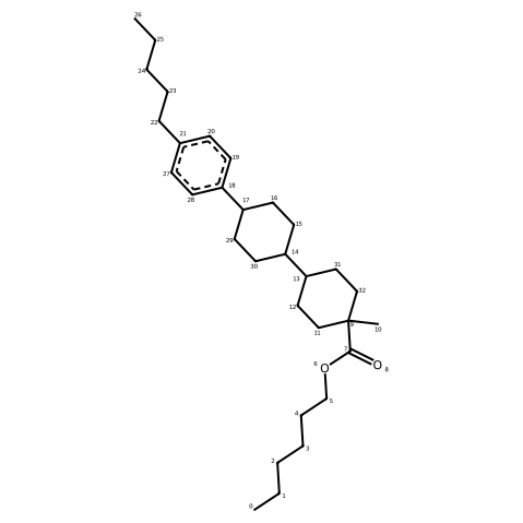 CCCCCCOC(=O)C1(C)CCC(C2CCC(c3ccc(CCCCC)cc3)CC2)CC1